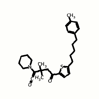 Cc1ccc(CCCCCc2ccc(C(=O)CC(C)(C)C(=C=O)N3CCCCC3)s2)cc1